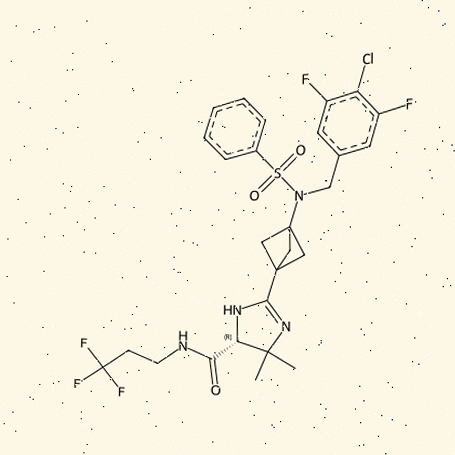 CC1(C)N=C(C23CC(N(Cc4cc(F)c(Cl)c(F)c4)S(=O)(=O)c4ccccc4)(C2)C3)N[C@H]1C(=O)NCCC(F)(F)F